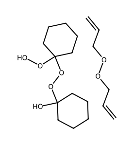 C=CCOOCC=C.OOC1(OOC2(O)CCCCC2)CCCCC1